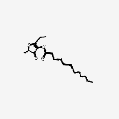 CCCCCCCCCCCC(=O)OC1=C(CC)OC(C)C1=O